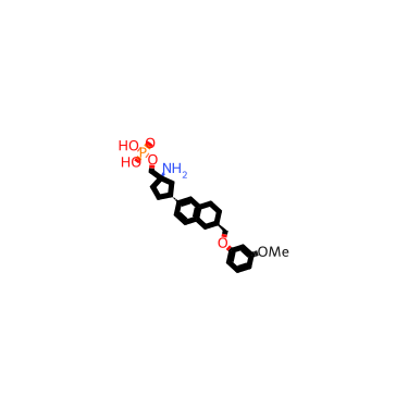 COc1cccc(OC[C@@H]2CCc3cc([C@@H]4CC[C@](N)(COP(=O)(O)O)C4)ccc3C2)c1